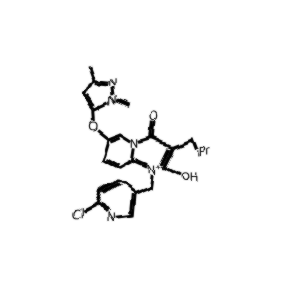 Cc1cc(Oc2ccc3n(c2)c(=O)c(CC(C)C)c(O)[n+]3Cc2ccc(Cl)nc2)n(C)n1